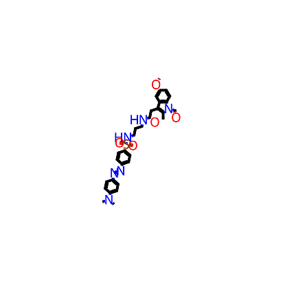 COc1ccc2c(c1)c(CC(=O)NCCCNS(=O)(=O)c1ccc(/N=N/c3ccc(N(C)C)cc3)cc1)c(C)n2C=O